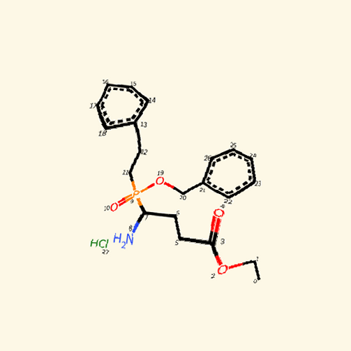 CCOC(=O)CCC(N)P(=O)(CCc1ccccc1)OCc1ccccc1.Cl